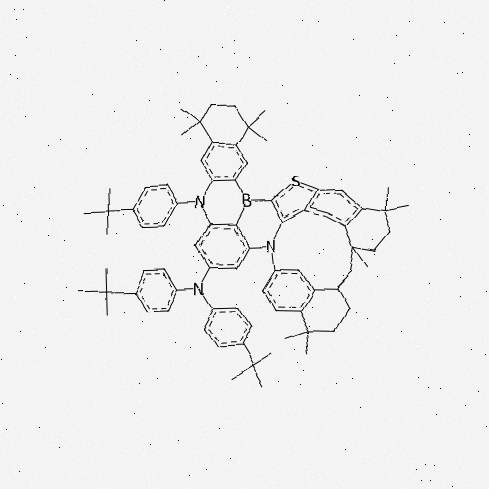 CC(C)(C)c1ccc(N(c2ccc(C(C)(C)C)cc2)c2cc3c4c(c2)N2c5ccc6c(c5)C(C)(CCC6(C)C)CC5(C)CCC(C)(C)c6cc7sc(c2c7cc65)B4c2cc4c(cc2N3c2ccc(C(C)(C)C)cc2)C(C)(C)CCC4(C)C)cc1